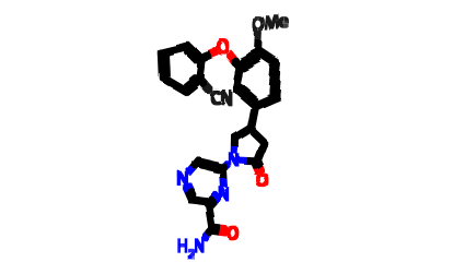 COc1ccc(C2CC(=O)N(c3cncc(C(N)=O)n3)C2)cc1Oc1ccccc1C#N